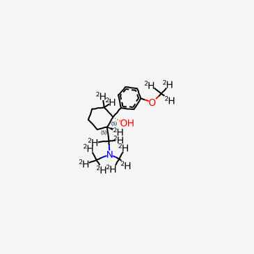 [2H]C([2H])([2H])Oc1cccc([C@]2(O)C([2H])([2H])CCC[C@@]2([2H])C([2H])([2H])N(C([2H])([2H])[2H])C([2H])([2H])[2H])c1